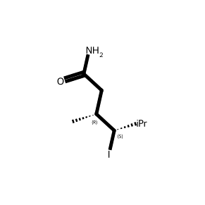 CC(C)[C@H](I)[C@H](C)CC(N)=O